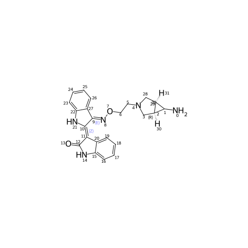 NC1[C@H]2CN(CCO/N=C3/C(=C4/C(=O)Nc5ccccc54)Nc4ccccc43)C[C@@H]12